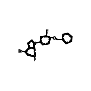 Fc1cc(Br)c2ccn(-c3ccc(OCc4ccccc4)c(F)c3)c2c1